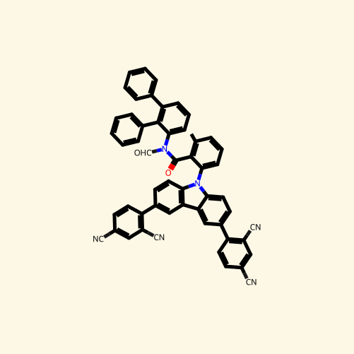 Cc1cccc(-n2c3ccc(-c4ccc(C#N)cc4C#N)cc3c3cc(-c4ccc(C#N)cc4C#N)ccc32)c1C(=O)N(C=O)c1cccc(-c2ccccc2)c1-c1ccccc1